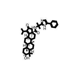 CC(C)C1=C2[C@H]3CC[C@@H]4[C@@]5(C)CC[C@H](O)C(C)(C)[C@@H]5CC[C@@]4(C)[C@]3(C)CC[C@@]2(C(=O)NC(C)(C)c2ncc(-c3ccccc3)[nH]2)CC1=O